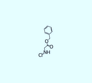 O=C(CNCl)OCc1ccccc1